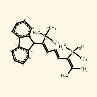 CC(C)=C(C=[C]C=C(C1c2ccccc2-c2ccccc21)[Si](C)(C)C)[Si](C)(C)C